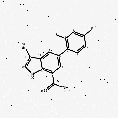 Cc1cc(F)ccc1-c1cc(C(N)=O)c2[nH]cc(Br)c2c1